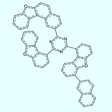 c1ccc2cc(-c3cccc4c3oc3cccc(-c5nc(-c6ccc7ccc8oc9ccccc9c8c7c6)nc(-c6cccc7oc8ccccc8c67)n5)c34)ccc2c1